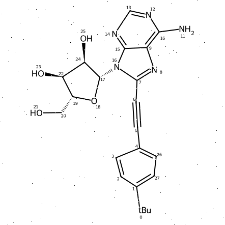 CC(C)(C)c1ccc(C#Cc2nc3c(N)ncnc3n2[C@@H]2O[C@H](CO)[C@@H](O)[C@H]2O)cc1